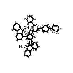 CC1(C)c2ccccc2-c2cccc(-c3cc(-c4cc(-c5ccc(-c6ccccc6)cc5)nc(-c5ccncc5)n4)cc(-c4cccc5c4C(C)(C)c4ccccc4-5)c3)c21